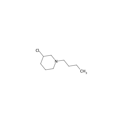 CCCCN1CCCC(Cl)C1